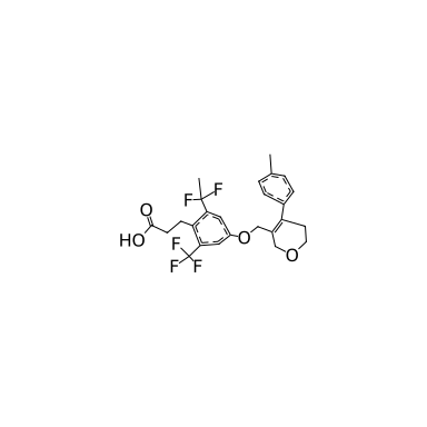 Cc1ccc(C2=C(COc3cc(C(C)(F)F)c(CCC(=O)O)c(C(F)(F)F)c3)COCC2)cc1